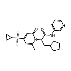 Cc1cc(S(=O)(=O)C2CC2)cc(=O)n1C(CC1CCCC1)C(=O)Nc1cnccn1